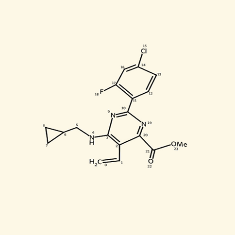 C=Cc1c(NCC2CC2)nc(-c2ccc(Cl)cc2F)nc1C(=O)OC